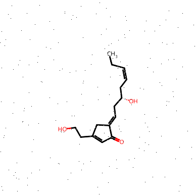 CC/C=C\C[C@H](O)C/C=C1\CC(CCO)=CC1=O